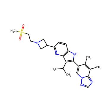 Cc1c(-c2[nH]c3ccc(C4CN(CCS(C)(=O)=O)C4)nc3c2C(C)C)cn2ncnc2c1C